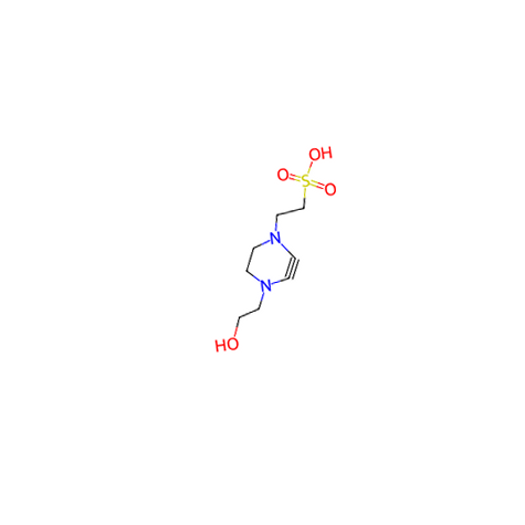 O=S(=O)(O)CCN1C#CN(CCO)CC1